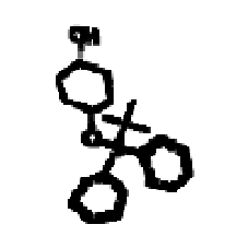 CC(C)(C)[Si](O[C@H]1CC[C@H](O)CC1)(c1ccccc1)c1ccccc1